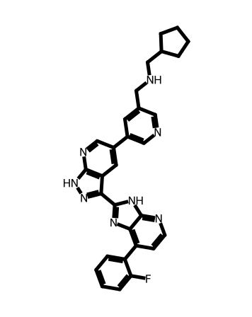 Fc1ccccc1-c1ccnc2[nH]c(-c3n[nH]c4ncc(-c5cncc(CNCC6CCCC6)c5)cc34)nc12